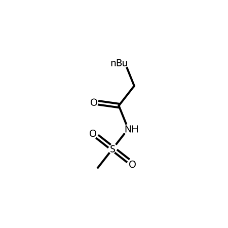 CCCCCC(=O)NS(C)(=O)=O